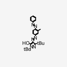 Cc1cc(/N=N/c2c(C(C)(C)C)nn(C(C)(C)C)c2O)ccc1/N=N/c1ccccc1